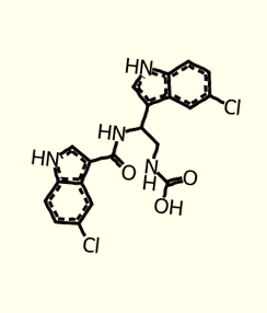 O=C(O)NCC(NC(=O)c1c[nH]c2ccc(Cl)cc12)c1c[nH]c2ccc(Cl)cc12